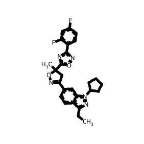 CCc1nn(C2CCCC2)c2cc(C3=NOC(C)(c4nc(-c5ccc(F)cc5F)no4)C3)ccc12